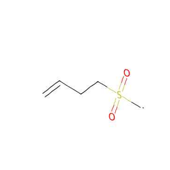 [CH2]S(=O)(=O)CCC=C